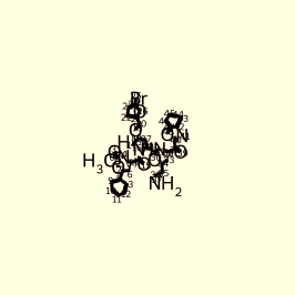 CS(=O)(=O)N[C@H](CCc1ccccc1)C(=O)N1C[C@H](OCc2ccc(Br)o2)C[C@H]1C(=O)N[C@@H](CCCCN)C(=O)c1nc2ccccc2o1